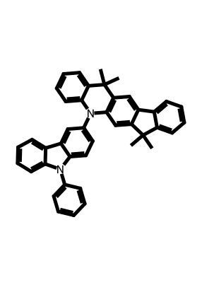 CC1(C)c2ccccc2-c2cc3c(cc21)N(c1ccc2c(c1)c1ccccc1n2-c1ccccc1)c1ccccc1C3(C)C